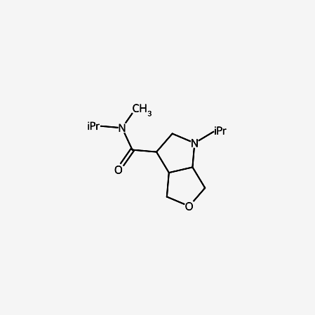 CC(C)N(C)C(=O)C1CN(C(C)C)C2COCC12